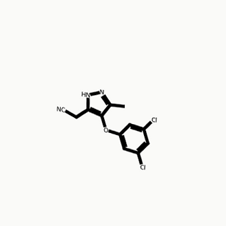 Cc1n[nH]c(CC#N)c1Oc1cc(Cl)cc(Cl)c1